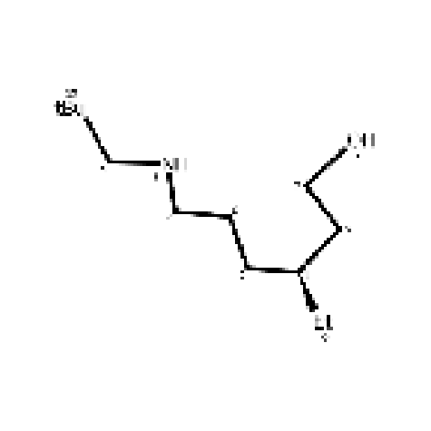 CC[C@H](CCO)CCCNCC(C)(C)C